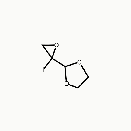 IC1(C2OCCO2)CO1